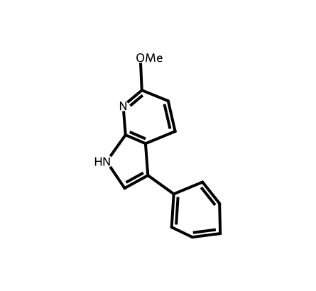 COc1ccc2c(-c3ccccc3)c[nH]c2n1